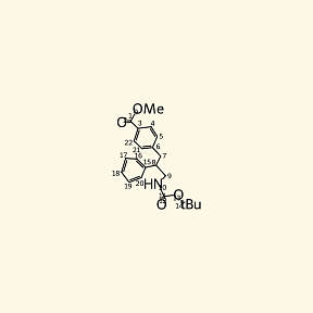 COC(=O)c1ccc(CC(CNC(=O)OC(C)(C)C)c2ccccc2)cc1